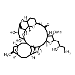 C=C1C[C@@H]2CC3[C@@H]4C[C@H](CC[C@@H]1O2)O[C@H](C[C@@H]1O[C@H](C[C@H](O)CN)[C@H](OC)[C@H]1CC(=O)C[C@H]1CC[C@@H]2OC5=C[C@@H](O[C@]3(O)C[C@H]5O)[C@H]2O1)C4=C